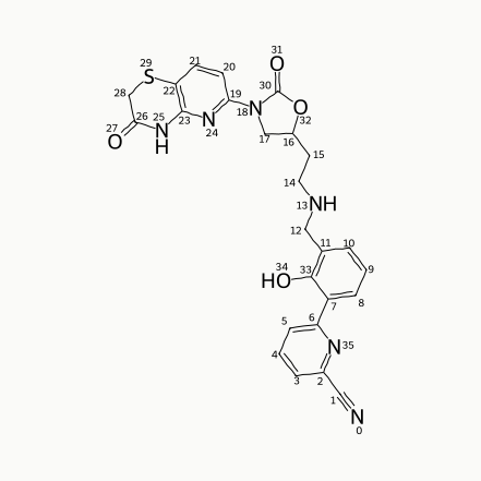 N#Cc1cccc(-c2cccc(CNCCC3CN(c4ccc5c(n4)NC(=O)CS5)C(=O)O3)c2O)n1